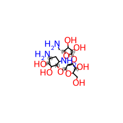 NC[C@H]1O[C@@H](OC2=C[C@@H](O[C@@H]3C(N)C[C@@H](N)[C@@H](O)C3O)OC(CO)[C@H]2O)[C@@H](O)C1O